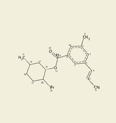 Cc1cc(/C=C/C#N)cc([PH](=O)OC2CC(C)CCC2C(C)C)c1